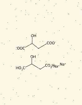 O=C(O)CC(O)C(=O)O.O=C([O-])CC(O)C(=O)[O-].[Na+].[Na+]